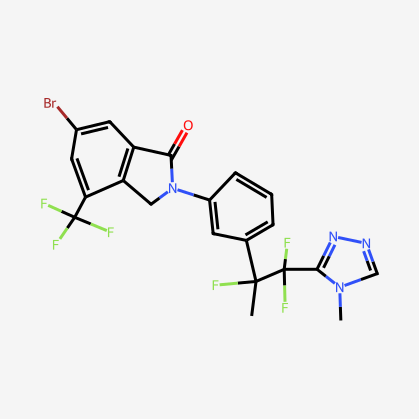 Cn1cnnc1C(F)(F)C(C)(F)c1cccc(N2Cc3c(cc(Br)cc3C(F)(F)F)C2=O)c1